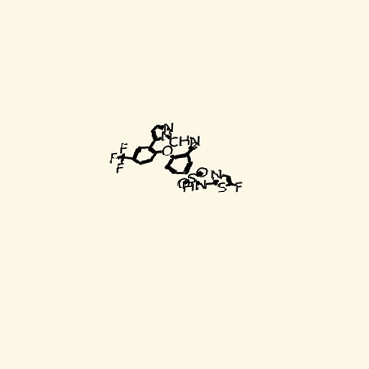 Cn1nccc1-c1cc(C(F)(F)F)ccc1Oc1ccc(S(=O)(=O)Nc2ncc(F)s2)cc1C#N